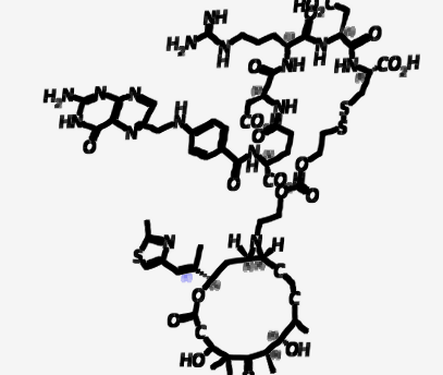 C/C(=C\c1csc(C)n1)[C@@H]1C[C@H]2[C@@H](CCCC(C)[C@H](O)[C@@H](C)C(=O)C(C)(C)C(O)CC(=O)O1)N2CCOC(=O)OCCSSC[C@H](NC(=O)[C@H](CC(=O)O)NC(=O)[C@H](CCCNC(=N)N)NC(=O)[C@H](CC(=O)O)NC(=O)CC[C@H](NC(=O)c1ccc(NCc2cnc3nc(N)[nH]c(=O)c3n2)cc1)C(=O)O)C(=O)O